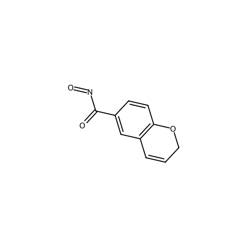 O=NC(=O)c1ccc2c(c1)C=CCO2